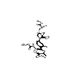 COC(=O)C(C)SC(=NNC(=O)OC(C)(C)C)c1ccc(N2C[C@H](CNC(=O)OC(C)(C)C)OC2=O)cc1F